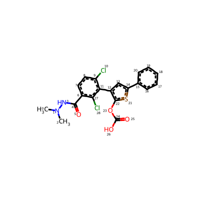 CN(C)NC(=O)c1ccc(Cl)c(-c2cc(-c3ccccc3)sc2OC(=O)O)c1Cl